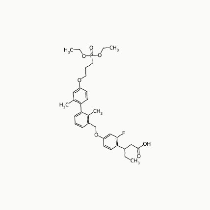 CCOP(=O)(CCCOc1ccc(-c2cccc(COc3ccc(C(CC)CC(=O)O)c(F)c3)c2C)c(C)c1)OCC